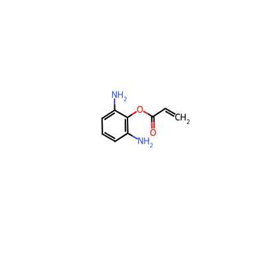 C=CC(=O)Oc1c(N)cccc1N